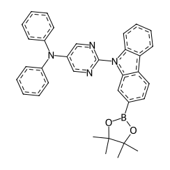 CC1(C)OB(c2ccc3c4ccccc4n(-c4ncc(N(c5ccccc5)c5ccccc5)cn4)c3c2)OC1(C)C